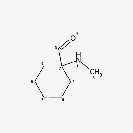 CNC1([C]=O)CCCCC1